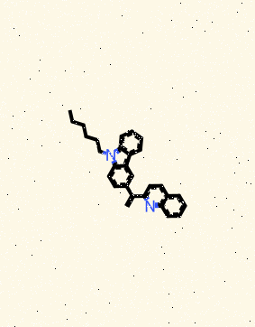 C=C(c1ccc2c(c1)c1ccccc1n2CCCCCC)c1ccc2ccccc2n1